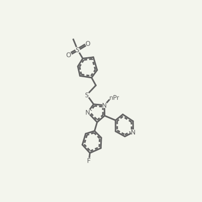 CCCn1c(SCc2ccc(S(C)(=O)=O)cc2)nc(-c2ccc(F)cc2)c1-c1ccncc1